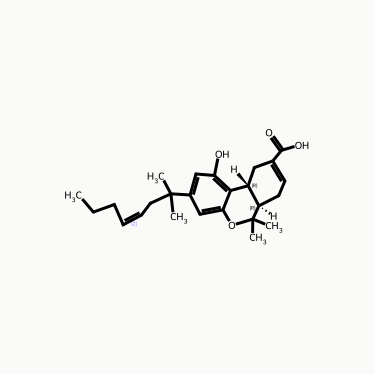 CCC/C=C\CC(C)(C)c1cc(O)c2c(c1)OC(C)(C)[C@@H]1CC=C(C(=O)O)C[C@@H]21